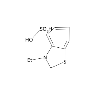 CCN1CSc2ccccc21.O=S(=O)(O)O